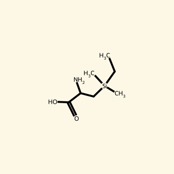 CC[Si](C)(C)CC(N)C(=O)O